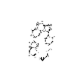 NCCCc1ccc(-n2cnc3cnc4ccc(-c5cc6ccccc6o5)cc4c32)cc1